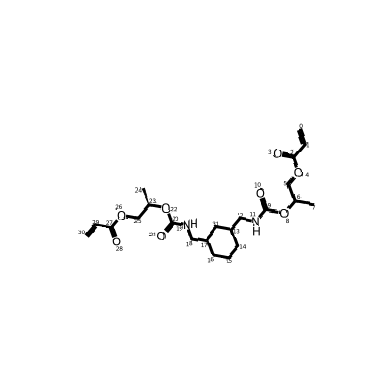 C=CC(=O)OCC(C)OC(=O)NCC1CCCC(CNC(=O)O[C@H](C)COC(=O)C=C)C1